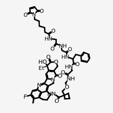 CC[C@@]1(O)C(=O)OCc2c1cc1n(c2=O)Cc2c-1nc1cc(F)c(C)c3c1c2[C@@H](NC(=O)C1(COCNC(=O)CNC(=O)C(Cc2ccccc2)NC(=O)CNC(=O)CNC(=O)CCCCCN2C(=O)C=CC2=O)CCC1)CC3